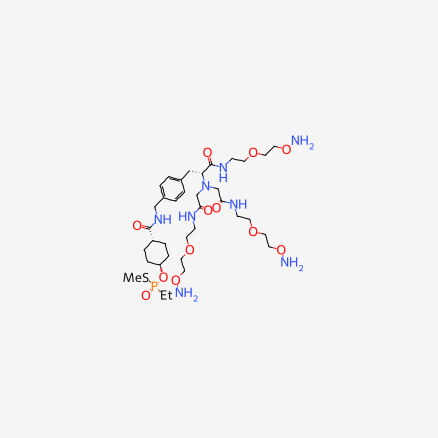 CCP(=O)(O[C@H]1CC[C@H](C(=O)NCc2ccc(C[C@H](C(=O)NCCOCCON)N(CC(=O)NCCOCCON)CC(=O)NCCOCCON)cc2)CC1)SC